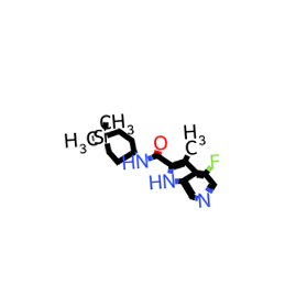 Cc1c(C(=O)NC2CC[Si](C)(C)CC2)[nH]c2cncc(F)c12